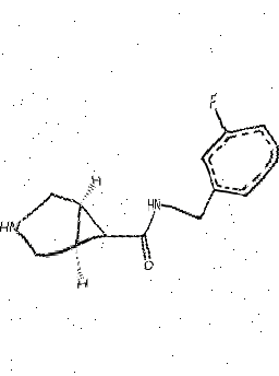 O=C(NCc1cccc(F)c1)C1[C@H]2CNC[C@@H]12